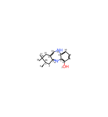 C[C@@H]1CC2=Nc3c(O)cccc3NC=C2CC1(C)C